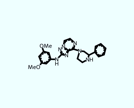 COc1cc(Nc2nc3c(N4CCNC(c5ccccc5)C4)nccn3n2)cc(OC)c1